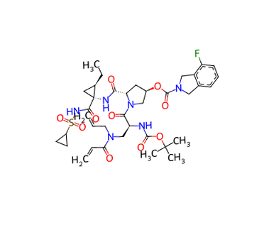 C=CCN(C[C@H](NC(=O)OC(C)(C)C)C(=O)N1C[C@H](OC(=O)N2Cc3cccc(F)c3C2)C[C@H]1C(=O)N[C@]1(C(=O)NS(=O)(=O)C2CC2)C[C@H]1CC)C(=O)C=C